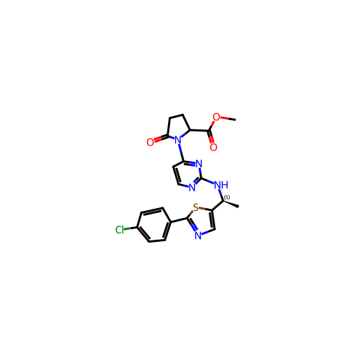 COC(=O)C1CCC(=O)N1c1ccnc(N[C@@H](C)c2cnc(-c3ccc(Cl)cc3)s2)n1